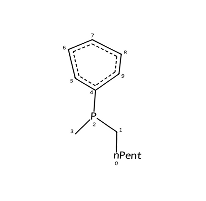 CCCCCCP(C)c1ccccc1